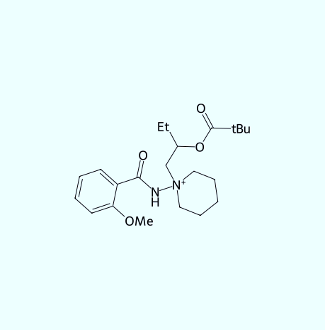 CCC(C[N+]1(NC(=O)c2ccccc2OC)CCCCC1)OC(=O)C(C)(C)C